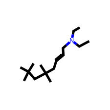 CCN(CC)C/C=C/CC(C)(C)CC(C)(C)C